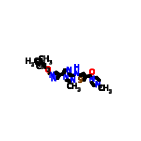 Cc1cn2c(-c3cnn(COCC[Si](C)(C)C)c3)cnc2c(Nc2cc(C(=O)N3CCN(C)CC3)cs2)n1